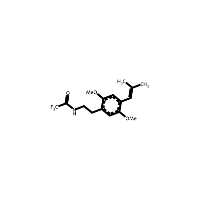 COc1cc(CCNC(=O)C(F)(F)F)c(OC)cc1C=C(C)C